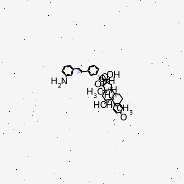 C[C@]12C=CC(=O)C=C1CC[C@@H]1[C@@H]2[C@@H](O)C[C@@]2(C)[C@H]1C[C@H]1O[C@@H](c3cccc(/C=C/c4cccc(N)c4)c3)O[C@]12C(=O)CO